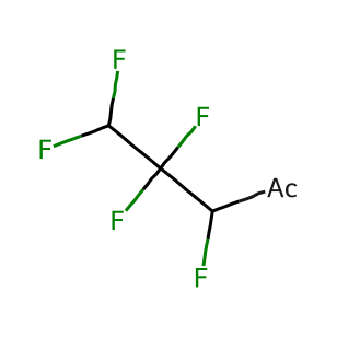 CC(=O)C(F)C(F)(F)C(F)F